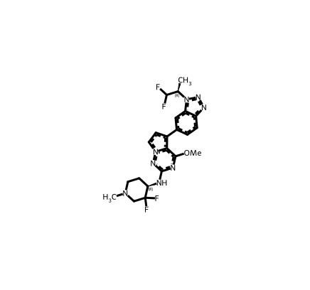 COc1nc(N[C@@H]2CCN(C)CC2(F)F)nn2ccc(-c3ccc4nnn([C@H](C)C(F)F)c4c3)c12